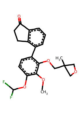 COc1c(OC(F)F)ccc(-c2cccc3c2CCC3=O)c1OCC1(C)COC1